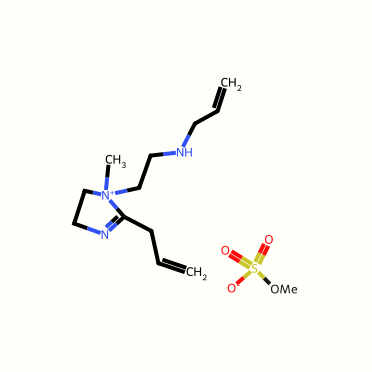 C=CCNCC[N+]1(C)CCN=C1CC=C.COS(=O)(=O)[O-]